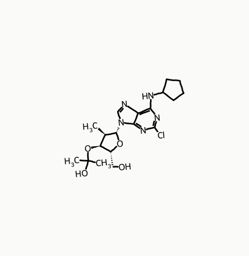 C[C@@H]1[C@H](OC(C)(C)O)[C@@H](CO)O[C@H]1n1cnc2c(NC3CCCC3)nc(Cl)nc21